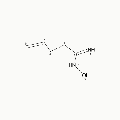 C=CCCC(=N)NO